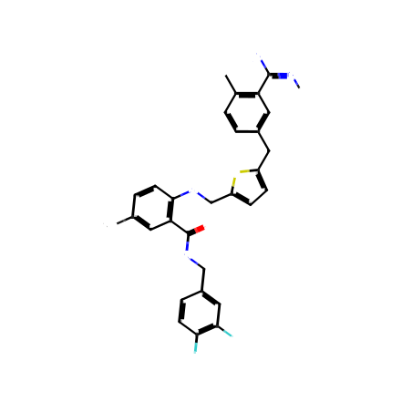 CC/N=C(/N)c1cc(Cc2ccc(CNc3ccc(C#N)cc3C(=O)NCc3ccc(F)c(F)c3)s2)ccc1C